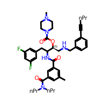 CCCC#Cc1cccc(CNC[C@H](OC(=O)N2CCN(C)CC2)C(Cc2cc(F)cc(F)c2)NC(=O)c2cc(C)cc(C(=O)N(CCC)CCC)c2)c1